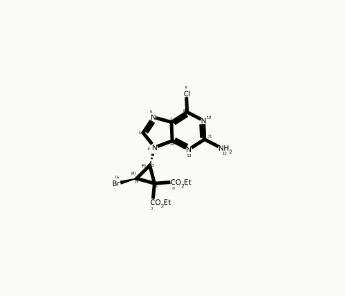 CCOC(=O)C1(C(=O)OCC)[C@@H](n2cnc3c(Cl)nc(N)nc32)[C@@H]1Br